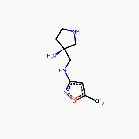 Cc1cc(NC[C@]2(N)CCNC2)no1